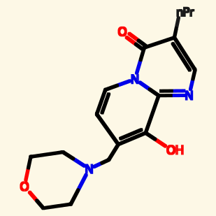 CCCc1cnc2c(O)c(CN3CCOCC3)ccn2c1=O